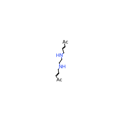 CC(=O)C=CCNCCNCC=CC(C)=O